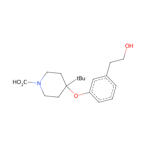 CC(C)(C)C1(Oc2cccc(CCO)c2)CCN(C(=O)O)CC1